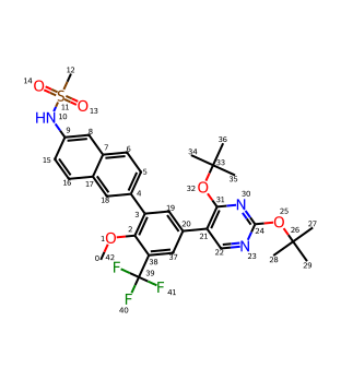 COc1c(-c2ccc3cc(NS(C)(=O)=O)ccc3c2)cc(-c2cnc(OC(C)(C)C)nc2OC(C)(C)C)cc1C(F)(F)F